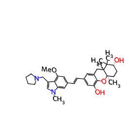 COc1cc(/C=C/c2cc(O)c3c(c2)C[C@@H]2C(C)(C)[C@H](O)CC[C@@]2(C)O3)cc2c1c(CN1CCCC1)cn2C